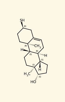 C[C@]12CC[C@H]3[C@@H](CC=C4C[C@H](S)CC[C@@]43C)[C@@H]1CC[C@@H]2O